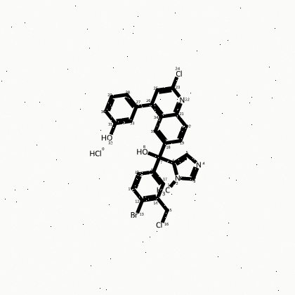 Cl.Cn1cncc1C(O)(c1ccc(Br)c(CCl)c1)c1ccc2nc(Cl)cc(-c3cccc(O)c3)c2c1